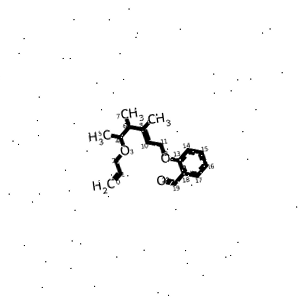 C=CCOC(C)C(C)/C(C)=C/COc1ccccc1C=O